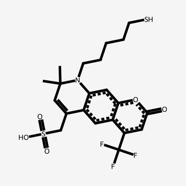 CC1(C)C=C(CS(=O)(=O)O)c2cc3c(C(F)(F)F)cc(=O)oc3cc2N1CCCCCS